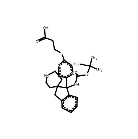 CC(C)(C)OC(=O)NC1(c2cnc(SCCC(=O)O)cn2)c2ccccc2CC12CCNCC2